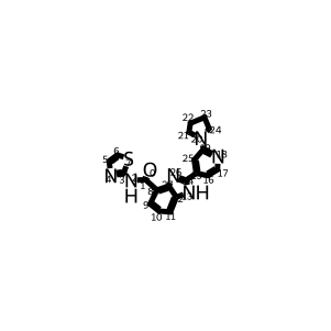 O=C(Nc1nccs1)c1cccc2[nH]c(-c3ccnc(N4CCCC4)c3)nc12